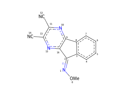 CO/N=C1\c2ccccc2-c2nc(C#N)c(C#N)nc21